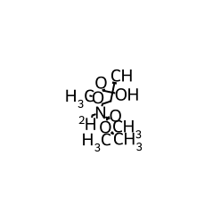 [2H]CN(CCC(O)(C#C)C(=O)OC)C(=O)OC(C)(C)C